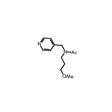 COCCCN(Cc1ccncc1)C(C)=O